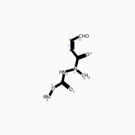 CN(NC(=O)OC(C)(C)C)C(=O)/C=C\C=O